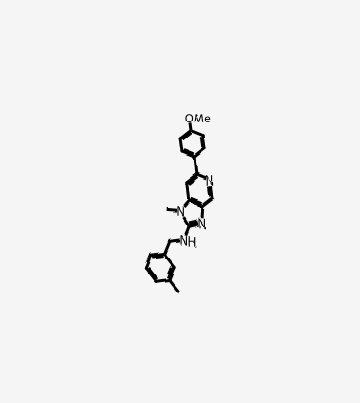 COc1ccc(-c2cc3c(cn2)nc(NCc2cccc(C)c2)n3C)cc1